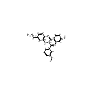 COc1cccc(-c2nc3cc(Cl)ccc3c(=O)n2Cc2cccc(CN)c2)c1